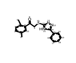 Cc1ccc(C)c(C(=O)CSc2nnc(-c3ccccc3)[nH]2)c1